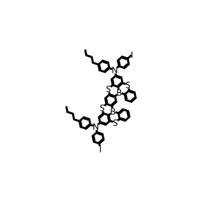 CCCCc1ccc(N(c2ccc(I)cc2)c2cc3c4c(c2)Sc2cc5c(cc2B4c2ccccc2S3)B2c3ccccc3Sc3cc(N(c4ccc(I)cc4)c4ccc(CCCC)cc4)cc(c32)S5)cc1